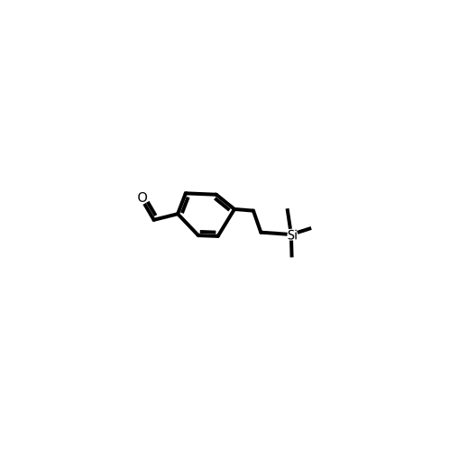 C[Si](C)(C)CCc1ccc(C=O)cc1